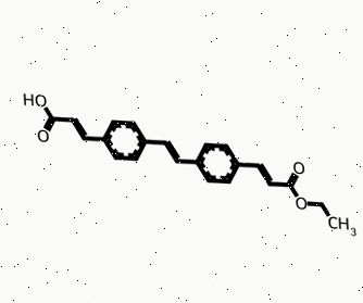 CCOC(=O)C=Cc1ccc(C=Cc2ccc(C=CC(=O)O)cc2)cc1